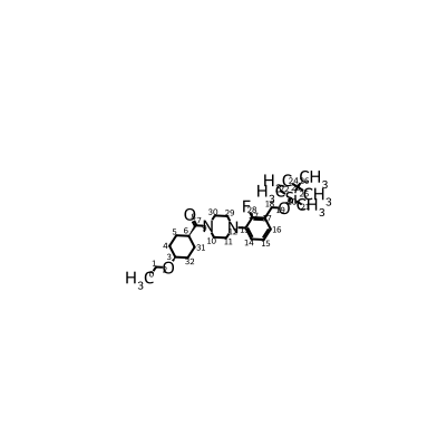 CCO[C@H]1CC[C@@H](C(=O)N2CCN(c3cccc(CO[Si](C)(C)C(C)(C)C)c3F)CC2)CC1